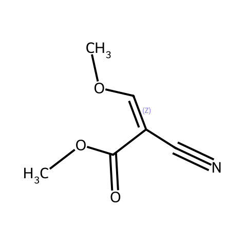 CO/C=C(/C#N)C(=O)OC